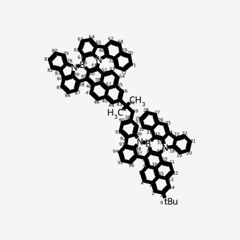 CC(C)(C)c1cc2ccc3c4c5c(c6ccc(c1)c2c36)-n1c2ccccc2c2cc3ccccc3c(c21)B5n1c2cc(CC(C)(C)c3cc5ccc6c7c8c(c9ccc(c3)c5c69)-n3c5c(cccc5c5ccc6ccccc6c53)B8n3c5ccccc5c5cccc-7c53)ccc2c2cccc-4c21